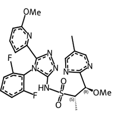 COc1cccc(-c2nnc(NS(=O)(=O)[C@@H](C)[C@H](OC)c3ncc(C)cn3)n2-c2c(F)cccc2F)n1